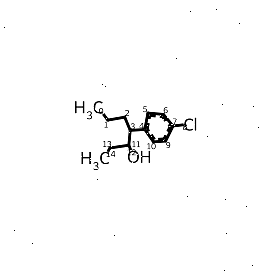 CCCC(c1ccc(Cl)cc1)C(O)CC